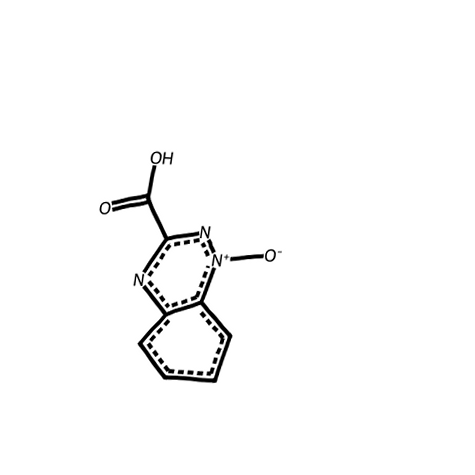 O=C(O)c1nc2ccccc2[n+]([O-])n1